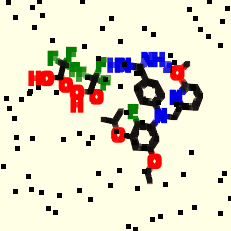 CCOc1cc(OC(C)C)c(F)c(N(Cc2cccc(OC)n2)c2ccc(C(=N)N)cc2)c1.O=C(O)C(F)(F)F.O=C(O)C(F)(F)F